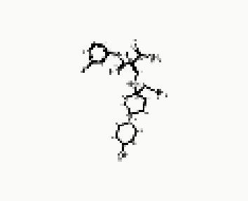 N=C(Nc1ccnc(F)c1)/C(=C\NC1(CN)CCC(N2CCC(O)CC2)CC1)C(N)=O